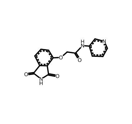 O=C(COc1cccc2c1C(=O)NC2=O)Nc1cccnc1